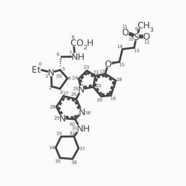 CCN1CCC[C@H]1CNC(=O)O.CS(=O)(=O)CCCOc1cccc2c1ccn2-c1ccnc(NC2CCCCC2)n1